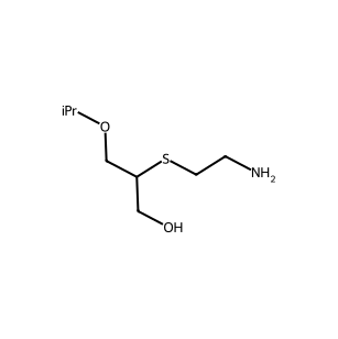 CC(C)OCC(CO)SCCN